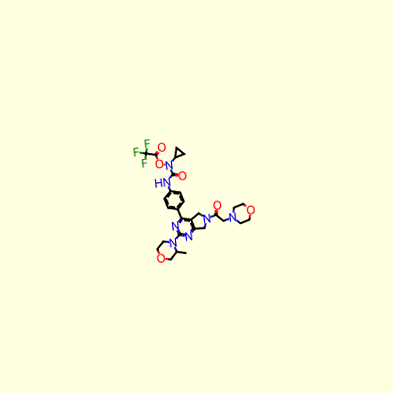 CC1COCCN1c1nc2c(c(-c3ccc(NC(=O)N(OC(=O)C(F)(F)F)C4CC4)cc3)n1)CN(C(=O)CN1CCOCC1)C2